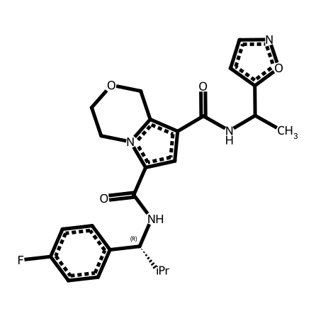 CC(NC(=O)c1cc(C(=O)N[C@@H](c2ccc(F)cc2)C(C)C)n2c1COCC2)c1ccno1